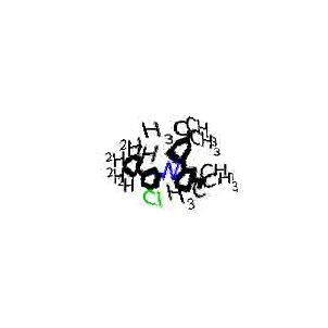 [2H]c1c([2H])c([2H])c(-c2cc(Cl)cc(-n3c4ccc(C(C)(C)C)cc4c4cc(C(C)(C)C)ccc43)c2)c([2H])c1[2H]